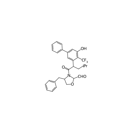 CC(C)CC(C(=O)N1C(Cc2ccccc2)COC1C=O)c1cc(-c2ccccc2)cc(O)c1C(F)(F)F